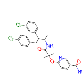 CC(NC(=O)C(C)(C)Oc1ccc(C(N)=O)cn1)C(Cc1ccc(Cl)cc1)c1cccc(Cl)c1